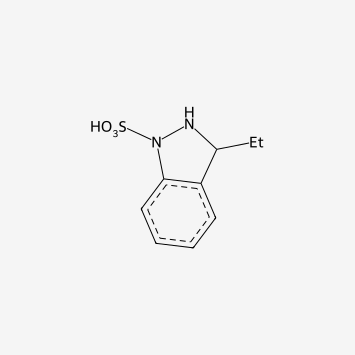 CCC1NN(S(=O)(=O)O)c2ccccc21